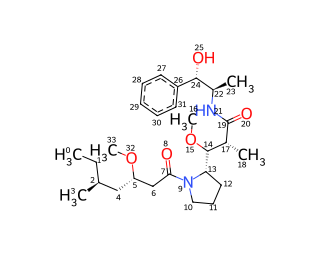 CC[C@H](C)C[C@@H](CC(=O)N1CCC[C@H]1C(OC)[C@@H](C)C(=O)N[C@H](C)[C@@H](O)c1ccccc1)OC